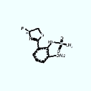 COc1cccc(C2=N[C@@H](C(C)C)CO2)c1NS(C)(=O)=O